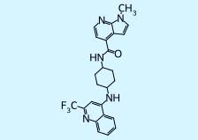 Cn1ccc2c(C(=O)NC3CCC(Nc4cc(C(F)(F)F)nc5ccccc45)CC3)ccnc21